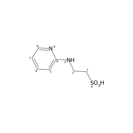 O=S(=O)(O)CCNc1ccccn1